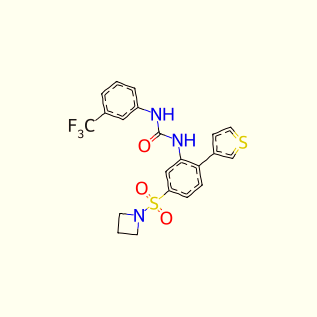 O=C(Nc1cccc(C(F)(F)F)c1)Nc1cc(S(=O)(=O)N2CCC2)ccc1-c1ccsc1